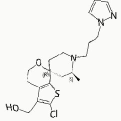 C[C@H]1C[C@@]2(CCN1CCCn1cccn1)OCCc1c2sc(Cl)c1CO